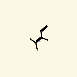 C=C/C(C)=C(/F)CC